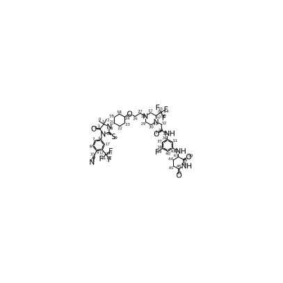 CC1(C)C(=O)N(c2ccc(C#N)c(C(F)(F)F)c2)C(=S)N1[C@H]1CC[C@H](OCCN2CCN(CC(=O)Nc3cc(F)cc(NC4CCC(=O)NC4=O)c3)C(C(F)(F)F)C2)CC1